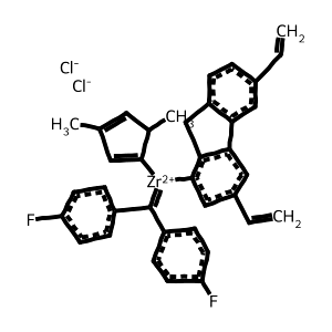 C=Cc1ccc2c(c1)-c1cc(C=C)c[c]([Zr+2]([C]3=CC(C)=CC3C)=[C](c3ccc(F)cc3)c3ccc(F)cc3)c1C2.[Cl-].[Cl-]